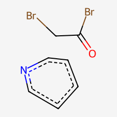 O=C(Br)CBr.c1ccncc1